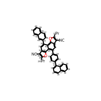 [C-]#[N+]c1c(C(C)C)oc2c1cc(-c1ccc(-c3cccc4ccccc34)cc1)c1c3oc(C(C)C)c(C#N)c3cc(-c3ccc4ccccc4c3)c21